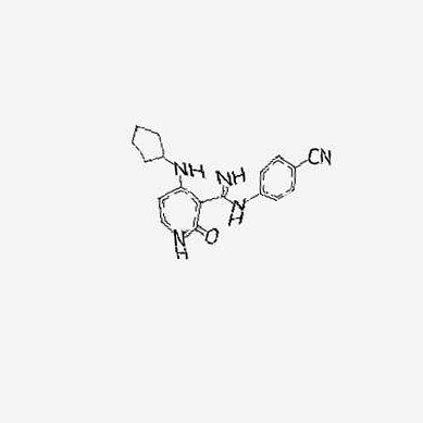 N#Cc1ccc(NC(=N)c2c(NC3CCCC3)cc[nH]c2=O)cc1